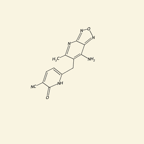 Cc1nc2nonc2c(N)c1Cc1ccc(C#N)c(=O)[nH]1